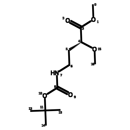 COC(=O)[C@@H](CCNC(=O)OC(C)(C)C)OC